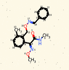 CNC(=O)/C(=N/OC)c1cccc(C)c1CO/N=C/c1ccccc1